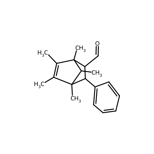 CC1=C(C)C2(C)C(c3ccccc3)C(C=O)C1(C)C2C